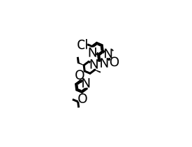 CC[C@H]1CN(c2nc(=O)n(C)c3ccc(Cl)nc23)[C@@H](C)C[C@H]1Oc1ccc(OC(C)C)cn1